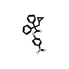 O=C(Oc1ccc([N+](=O)[O-])cc1)C(CC1CC1)(c1ccccc1)c1ccccc1